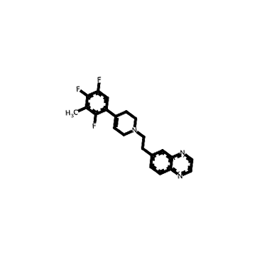 Cc1c(F)c(F)cc(C2=CCN(CCc3ccc4nccnc4c3)CC2)c1F